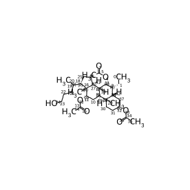 CC[C@H]1[C@@H](OC(C)=O)[C@@H]2[C@H](C[C@H](OC(C)=O)[C@]3(C)[C@@H]([C@H](C)CCCO)CC[C@@H]23)[C@@]2(C)CC[C@@H](OC(C)=O)C[C@@H]12